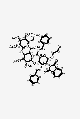 CC(=O)OC[C@H]1O[C@H](O[C@@H]2[C@H](OC(C)=O)[C@@H](OC(C)=O)[C@H](O[C@H]3[C@H](OCc4ccccc4)[C@@H](N4C(=O)c5ccccc5C4=O)[C@H](OCCBr)O[C@@H]3COCc3ccccc3)O[C@@H]2COC(C)=O)[C@H](OC(C)=O)[C@@H](OC(C)=O)[C@H]1OC(C)=O